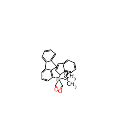 C[SiH](C)[Ti]([CH]=O)([CH]=O)([c]1cccc2c1Cc1ccccc1-2)[CH]1C=Cc2ccccc21